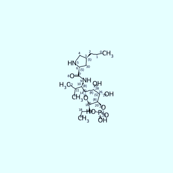 CCC[C@@H]1CN[C@H](C(=O)N[C@H](C(C)C)[C@H]2O[C@H](CCC)[C@H](OP(=O)(O)O)[C@@H](O)[C@H]2O)C1